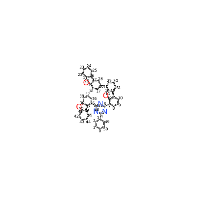 c1ccc(-c2nc(-c3cccc4c3oc3c(-c5ccc6oc7ccccc7c6c5)cccc34)nc(-c3cccc4oc5ccccc5c34)n2)cc1